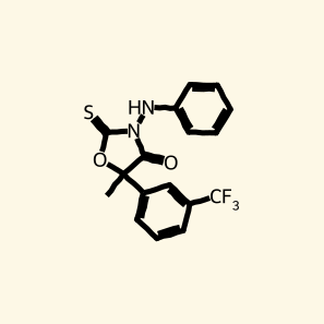 CC1(c2cccc(C(F)(F)F)c2)OC(=S)N(Nc2ccccc2)C1=O